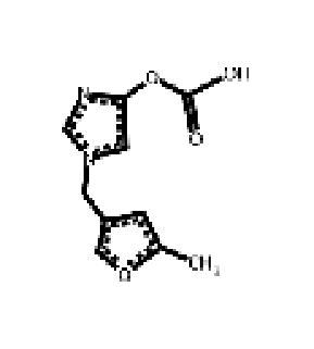 Cc1cc(Cn2cnc(OC(=O)O)c2)co1